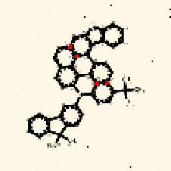 CC(C)(C)c1ccc(N(c2ccc3c(c2)-c2ccccc2C3(C)C)c2ccc3ccccc3c2-c2ccccc2-c2cccc3sc4ccccc4c23)cc1